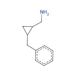 NCC1CC1Cc1ccccc1